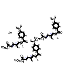 CC(/C=C/C(=O)NO)=C\[C@@H](C)C(=O)c1ccc(N(C)C)cc1.CC(/C=C/C(=O)NO)=C\[C@@H](C)C(=O)c1ccc(N(C)C)cc1.CC(/C=C/C(=O)NO)=C\[C@@H](C)C(=O)c1ccc(N(C)C)cc1.[Fe]